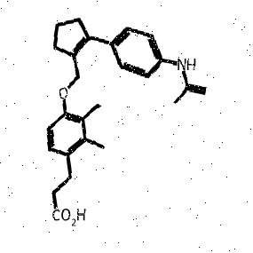 C=C(C)Nc1ccc(C2=C(COc3ccc(CCC(=O)O)c(C)c3C)CCC2)cc1